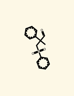 CC(C=O)(CS(=O)(=O)c1ccccc1)c1ccccc1